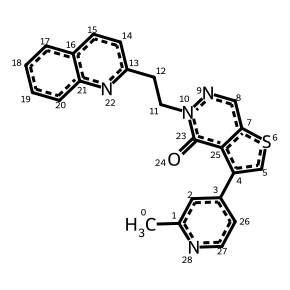 Cc1cc(-c2csc3cnn(CCc4ccc5ccccc5n4)c(=O)c23)ccn1